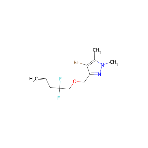 C=CCC(F)(F)COCc1nn(C)c(C)c1Br